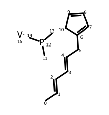 CC=CC=CCC1=CC=CC1.CP(C)C.[V]